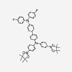 CC1(C)OB(c2ccc(N(c3ccc(B4OC(C)(C)C(C)(C)O4)cc3)c3ccc(-c4ccc(N(c5ccc(F)cc5)c5ccc(F)cc5)cc4)cc3)cc2)OC1(C)C